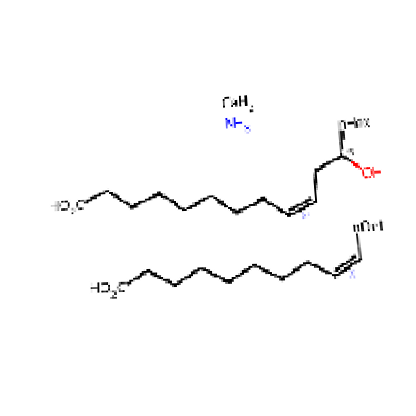 CCCCCCCC/C=C\CCCCCCCC(=O)O.CCCCCC[C@@H](O)C/C=C\CCCCCCCC(=O)O.N.[CaH2]